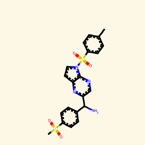 Cc1ccc(S(=O)(=O)n2ccc3nc(C(N)c4ccc(S(C)(=O)=O)cc4)cnc32)cc1